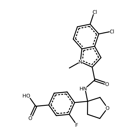 Cn1c(C(=O)NC2(c3ccc(C(=O)O)cc3F)CCOC2)cc2c(Cl)c(Cl)ccc21